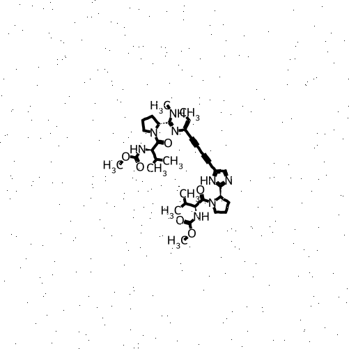 C/C=C(C#CC#Cc1cnc([C@H]2CCCN2C(=O)[C@H](NC(=O)OC)C(C)C)[nH]1)\N=C(/NC)[C@H]1CCCN1C(=O)[C@H](NC(=O)OC)C(C)C